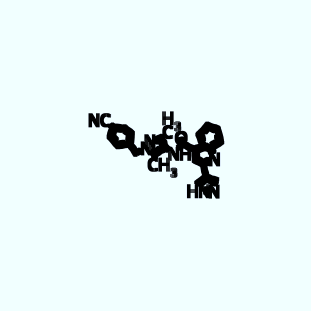 Cc1nn(Cc2ccc(C#N)cc2)c(C)c1NC(=O)c1cc(-c2cn[nH]c2)nc2ccccc12